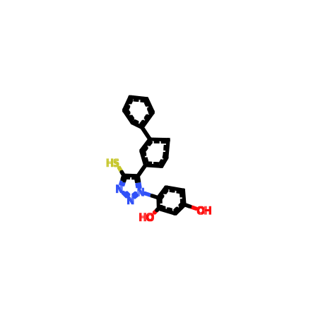 Oc1ccc(-n2nnc(S)c2-c2cccc(-c3ccccc3)c2)c(O)c1